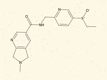 CC[S+]([O-])c1ccc(CNC(=O)c2cnc3c(c2)CN(C)C3)nc1